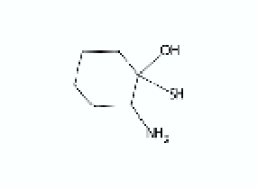 NC1CCCCC1(O)S